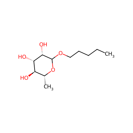 CCCCCOC1O[C@H](C)[C@@H](O)[C@H](O)[C@@H]1O